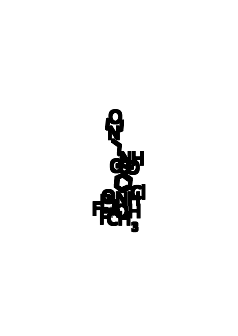 C[C@@](O)(C(=O)Nc1ccc(S(=O)(=O)NCCCN2CCOCC2)cc1Cl)C(F)(F)F